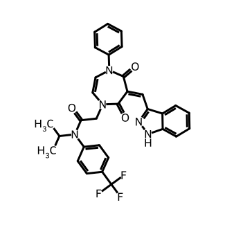 CC(C)N(C(=O)CN1C=CN(c2ccccc2)C(=O)C(=Cc2n[nH]c3ccccc23)C1=O)c1ccc(C(F)(F)F)cc1